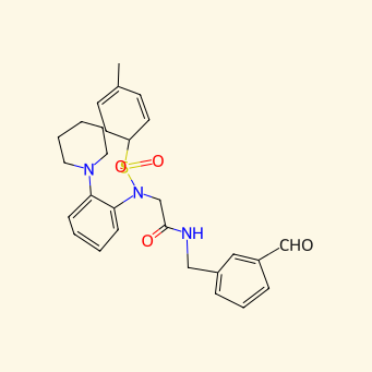 CC1=CCC(S(=O)(=O)N(CC(=O)NCc2cccc(C=O)c2)c2ccccc2N2CCCCC2)C=C1